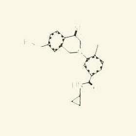 [CH2]COc1ccc2c(c1)CN(c1cc(C(=O)NC3CC3)ccc1C)CC2=O